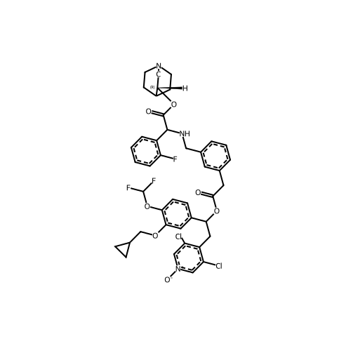 O=C(Cc1cccc(CNC(C(=O)O[C@H]2CN3CCC2CC3)c2ccccc2F)c1)OC(Cc1c(Cl)c[n+]([O-])cc1Cl)c1ccc(OC(F)F)c(OCC2CC2)c1